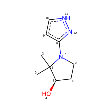 CC1(C)[C@H](O)CCN1c1cc[nH]n1